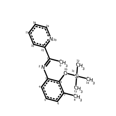 CC(=Nc1cccc(C)c1O[Si](C)(C)C)c1ccccn1